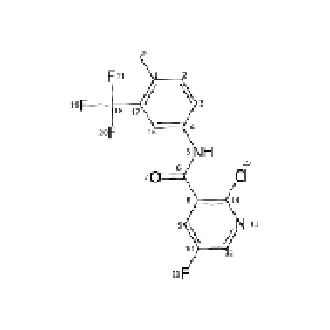 Cc1ccc(NC(=O)c2cc(F)cnc2Cl)cc1C(F)(F)F